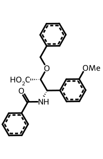 COc1cccc([C@H](NC(=O)c2ccccc2)[C@@H](OCc2ccccc2)C(=O)O)c1